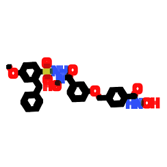 COc1ccc(S(=O)(=O)NN(O)C(=O)c2cccc(OCc3ccc(C(=O)NO)cc3)c2)c(Cc2ccccc2)c1